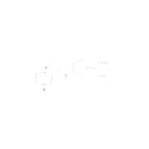 O=C(N[C@@H]1C[C@@H]2CC[C@H]1C2)C1CCN(c2cc(Cl)cc(Cl)c2)C1